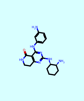 Nc1cccc(Nc2nc(N[C@@H]3CCCC[C@@H]3N)nc3c2C(=O)NCC3)c1